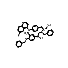 Nc1cc([C@H](O)CN(Cc2ccccc2)[C@H](CO)Cc2ccc(Oc3ccnc4ccc(F)cc34)cc2)ccc1OCc1ccccc1